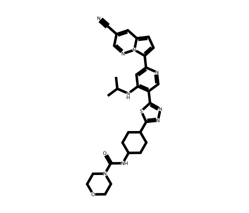 CC(C)Nc1cc(-c2ccc3cc(C#N)cnn23)ncc1-c1nnc(C2CCC(NC(=O)N3CCOCC3)CC2)s1